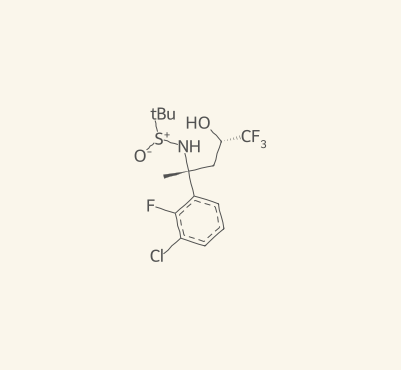 CC(C)(C)[S+]([O-])N[C@](C)(C[C@H](O)C(F)(F)F)c1cccc(Cl)c1F